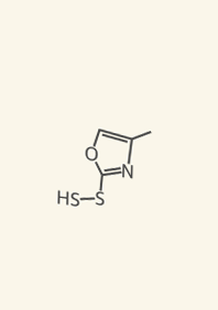 Cc1coc(SS)n1